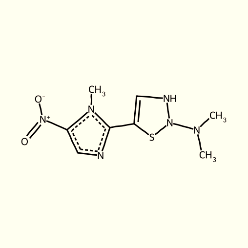 CN(C)N1NC=C(c2ncc([N+](=O)[O-])n2C)S1